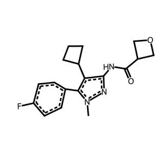 Cn1nc(NC(=O)C2COC2)c(C2CCC2)c1-c1ccc(F)cc1